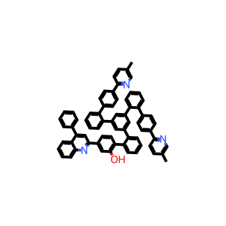 Cc1ccc(-c2ccc(-c3ccccc3-c3cc(-c4ccccc4-c4ccc(-c5ccc(C)cn5)cc4)cc(-c4ccccc4-c4ccc(-c5cc(-c6ccccc6)c6ccccc6n5)cc4O)c3)cc2)nc1